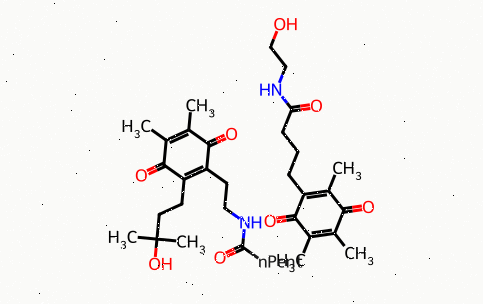 CC1=C(C)C(=O)C(CCCC(=O)NCCO)=C(C)C1=O.CCCCCC(=O)NCCC1=C(CCC(C)(C)O)C(=O)C(C)=C(C)C1=O